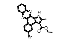 CCOC(=O)c1c(C)[nH]c2c3nc4ccccc4nc3c3ccc(Br)cc3c12